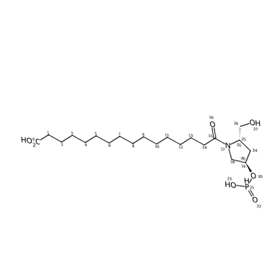 O=C(O)CCCCCCCCCCCCCCC(=O)N1C[C@H](O[PH](=O)O)C[C@H]1CO